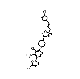 CCc1cnc(-c2cnc(N3CCC(C(=O)NS(=O)(=O)CC=Cc4ccc(Cl)s4)CC3)c(Cl)c2N)o1